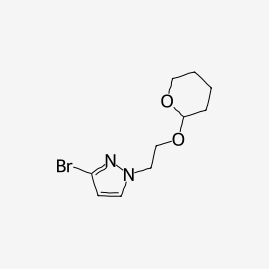 Brc1ccn(CCOC2CCCCO2)n1